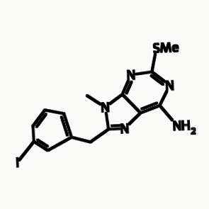 CSc1nc(N)c2nc(Cc3cccc(I)c3)n(C)c2n1